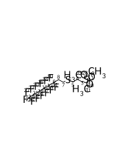 CO[Si](CCCSCCC(F)(F)C(F)(F)C(F)(F)C(F)(F)C(F)(F)C(F)(F)F)(OC)OC